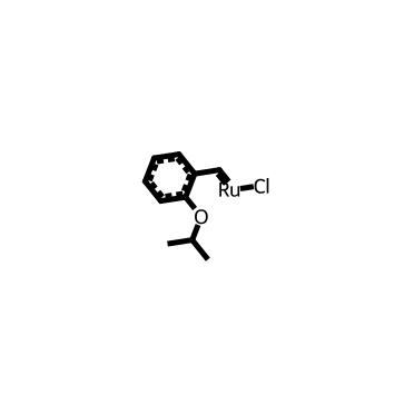 CC(C)Oc1ccccc1[CH]=[Ru][Cl]